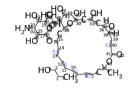 CCCO.C[C@@H]1C/C=C/C=C/C=C/C=C/[C@H](O[C@@H]2O[C@H](C)[C@@H](O)[C@H](N)[C@@H]2O)C[C@@H]2O[C@](O)(C[C@@H](O)C[C@H]3O[C@@H]3/C=C/C(=O)O1)C[C@H](O)[C@H]2C(=O)O